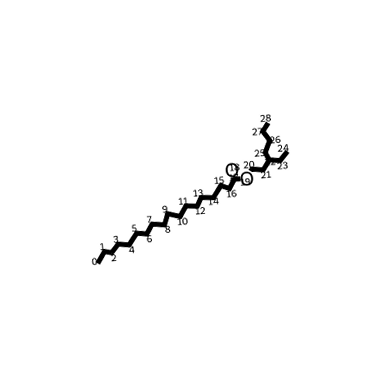 CCCCCCCCCCCCCCCCCC(=O)OCCC(CC)CCCC